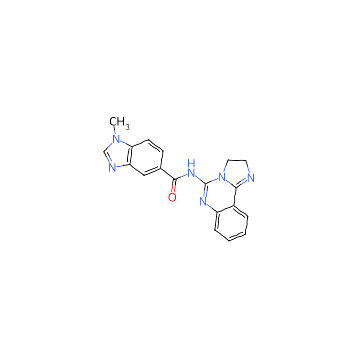 Cn1cnc2cc(C(=O)NC3=Nc4ccccc4C4=NCCN34)ccc21